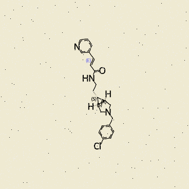 O=C(/C=C/c1cccnc1)NCC[C@@H]1[C@H]2CN(Cc3ccc(Cl)cc3)C[C@@H]12